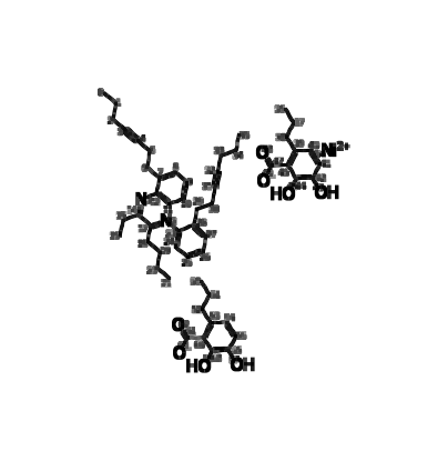 CCCC#CCCc1ccccc1N=C(CC)C(CCCC)=Nc1ccccc1CCC#CCCC.CCCc1ccc(O)c(O)c1C(=O)[O-].CCCc1ccc(O)c(O)c1C(=O)[O-].[Ni+2]